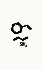 C=CC=C.C=Cc1ccccc1.[SiH4]